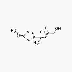 CC(C)(C=C(F)CO)c1ccc(OC(F)(F)F)cc1